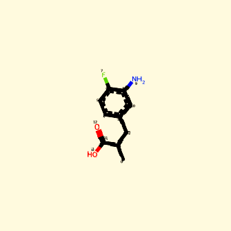 CC(Cc1ccc(F)c(N)c1)C(=O)O